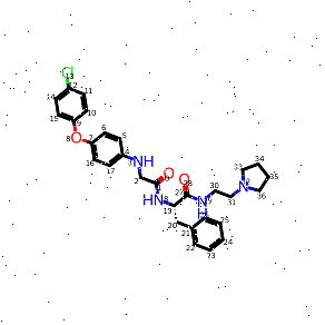 O=C(CNc1ccc(Oc2ccc(Cl)cc2)cc1)N[C@@H](Cc1ccccc1)C(=O)NCCN1CCCC1